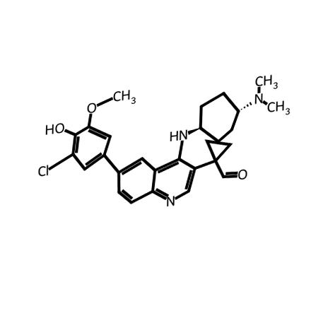 COc1cc(-c2ccc3ncc(C4(C=O)CC4)c(N[C@H]4CC[C@H](N(C)C)CC4)c3c2)cc(Cl)c1O